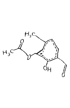 CC(=O)Oc1c(C)ccc(C=O)c1O